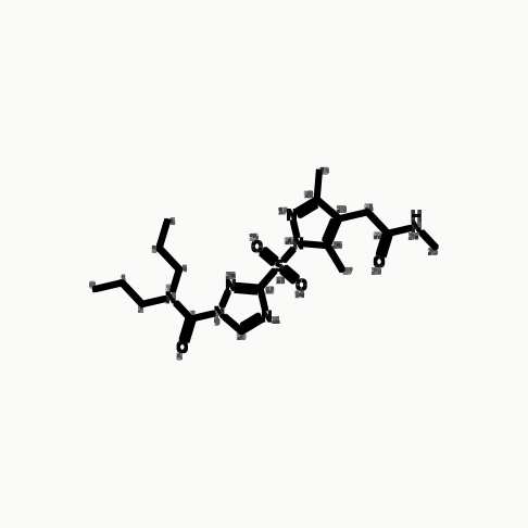 CCCN(CCC)C(=O)n1cnc(S(=O)(=O)n2nc(C)c(CC(=O)NC)c2C)n1